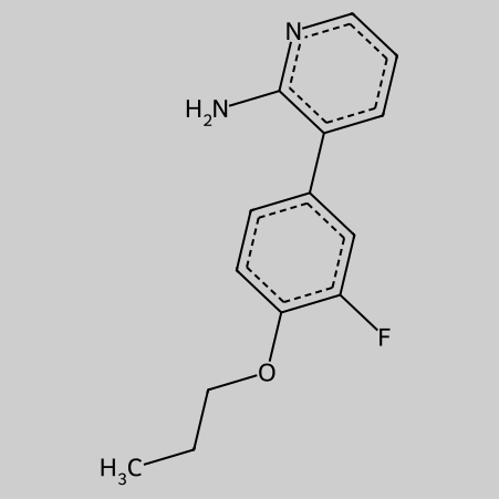 CCCOc1ccc(-c2cccnc2N)cc1F